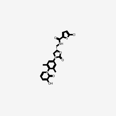 Cc1cc(N2C[C@H](CNC(=O)c3ccc(Cl)s3)OC2=O)cc(C)c1-n1cccc(O)c1=O